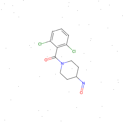 O=NC1CCN(C(=O)c2c(Cl)cccc2Cl)CC1